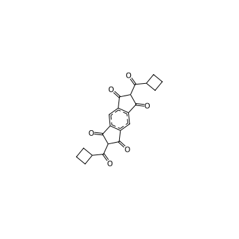 O=C1c2cc3c(cc2C(=O)C1C(=O)C1CCC1)C(=O)C(C(=O)C1CCC1)C3=O